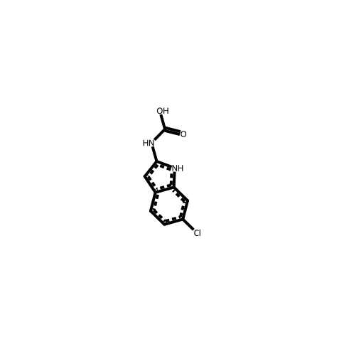 O=C(O)Nc1cc2ccc(Cl)cc2[nH]1